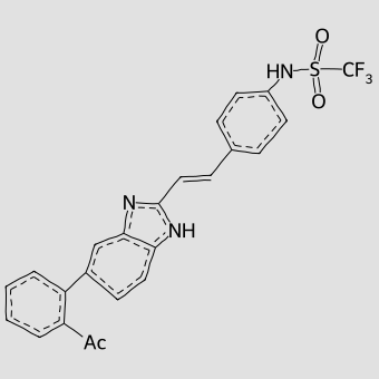 CC(=O)c1ccccc1-c1ccc2[nH]c(C=Cc3ccc(NS(=O)(=O)C(F)(F)F)cc3)nc2c1